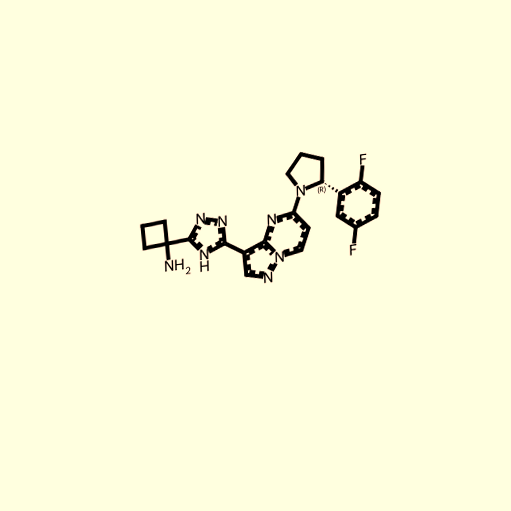 NC1(c2nnc(-c3cnn4ccc(N5CCC[C@@H]5c5cc(F)ccc5F)nc34)[nH]2)CCC1